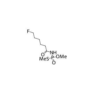 COP(=O)(NC(=O)CCCCCF)SC